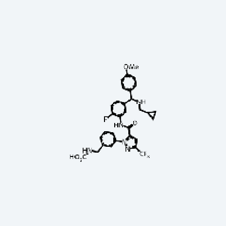 COc1ccc(C(NCC2CC2)c2ccc(F)c(NC(=O)c3cc(C(F)(F)F)nn3-c3cccc(CNC(=O)O)c3)c2)cc1